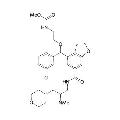 CNC(CNC(=O)c1cc2c(c(C(OCCNC(=O)OC)c3cccc(Cl)c3)c1)CCO2)CC1CCOCC1